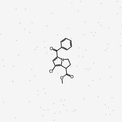 COC(=O)C1CCn2c(C(=O)c3ccccc3)cc(Cl)c21